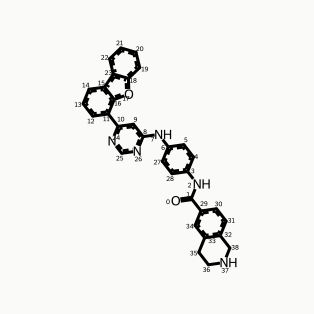 O=C(Nc1ccc(Nc2cc(-c3cccc4c3oc3ccccc34)ncn2)cc1)c1ccc2c(c1)CCNC2